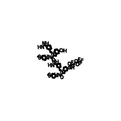 C[N+](C)(C)c1ccc(CNC(=O)c2cc3cc(O)ccc3n2Cc2cccc(C(=N)N)c2)cc1.C[N+](C)(C)c1ccc(CNC(=O)c2cc3cc(O)ccc3n2Cc2cccc(C(=N)N)c2)cc1.O=C([O-])C(F)(F)F.O=C([O-])C(F)(F)F